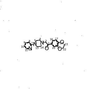 O=C(CN1CCN(c2ccccn2)CC1)c1ccc2c(c1)OCCO2